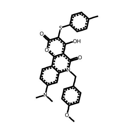 COc1ccc(Cn2c(=O)c3c(O)c(Sc4ccc(C)cc4)c(=O)oc3c3ccc(N(C)C)cc32)cc1